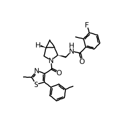 Cc1cccc(-c2sc(C)nc2C(=O)N2C[C@@H]3CC3[C@H]2CNC(=O)c2cccc(F)c2C)c1